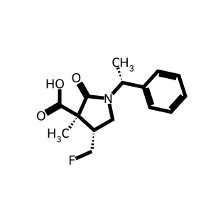 C[C@H](c1ccccc1)N1C[C@H](CF)[C@@](C)(C(=O)O)C1=O